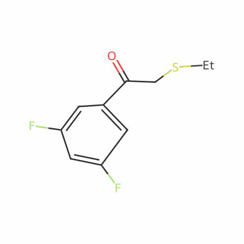 CCSCC(=O)c1cc(F)cc(F)c1